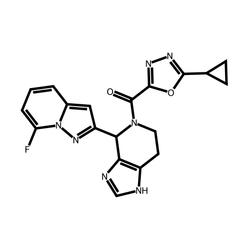 O=C(c1nnc(C2CC2)o1)N1CCc2[nH]cnc2C1c1cc2cccc(F)n2n1